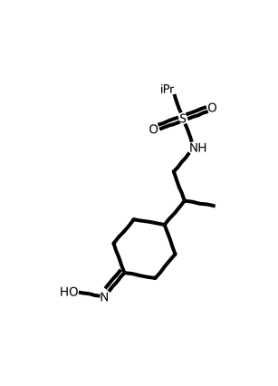 CC(CNS(=O)(=O)C(C)C)C1CCC(=NO)CC1